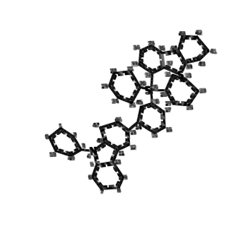 c1ccc(-n2c3ccccc3c3cc(-c4cccc([Si](c5ccccc5)(c5ccccc5)c5cccc6c5sc5ccccc56)c4)ccc32)cc1